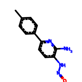 Cc1ccc(-c2ccc(NN=O)c(N)n2)cc1